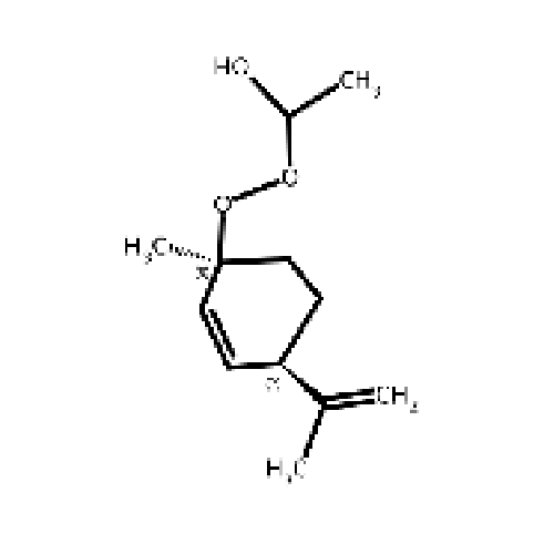 C=C(C)[C@H]1C=C[C@@](C)(OOC(C)O)CC1